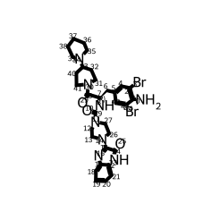 Nc1c(Br)cc(C[C@@H](NC(=O)N2CCN(c3nc4ccccc4[nH]c3=O)CC2)C(=O)N2CCC(N3CCCCC3)CC2)cc1Br